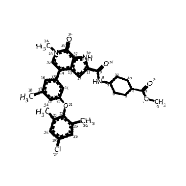 COC(=O)C1CCC(NC(=O)c2cc3c(-c4cc(C)cc(Oc5c(C)cc(Cl)cc5C)c4)cn(C)c(=O)c3[nH]2)CC1